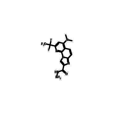 CN(C)c1cc(C(F)(F)C(F)(F)F)nc2c1ccc1nc(C(=O)NN)cn12